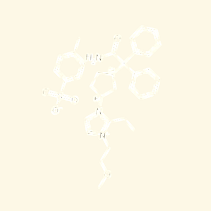 CCc1n([C@@H]2CC[C@H](C(C(N)=O)(c3ccccc3)c3ccccc3)C2)cc[n+]1CCOC.Cc1ccc(S(=O)(=O)[O-])cc1